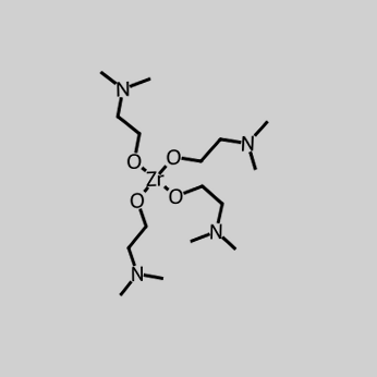 CN(C)CC[O][Zr]([O]CCN(C)C)([O]CCN(C)C)[O]CCN(C)C